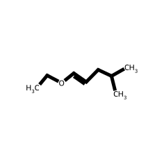 CCOC=CCC(C)C